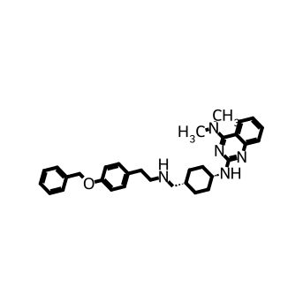 CN(C)c1nc(N[C@H]2CC[C@@H](CNCCc3ccc(OCc4ccccc4)cc3)CC2)nc2ccccc12